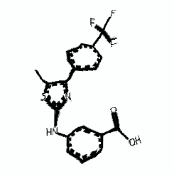 Cc1sc(Nc2cccc(C(=O)O)c2)nc1-c1ccc(C(F)(F)F)cc1